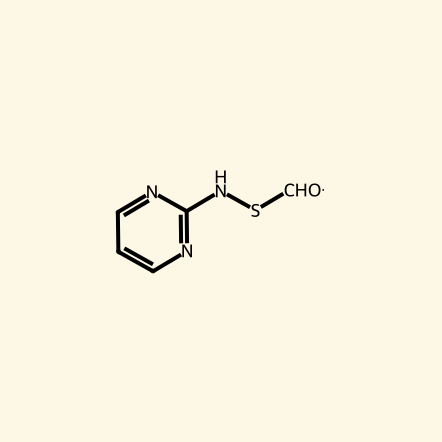 O=[C]SNc1ncccn1